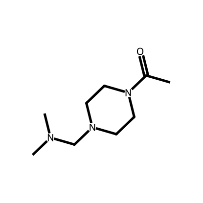 CC(=O)N1CCN(CN(C)C)CC1